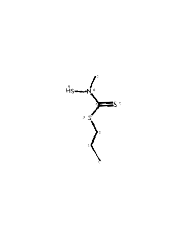 CCCSC(=S)N(C)S